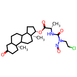 C[C@H](NC(=O)N(CCCl)N=O)C(=O)O[C@H]1CCC2C3CCC4CC(=O)CC[C@]4(C)C3CC[C@@]21C